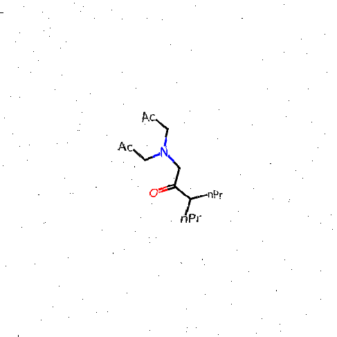 CCCC(CCC)C(=O)CN(CC(C)=O)CC(C)=O